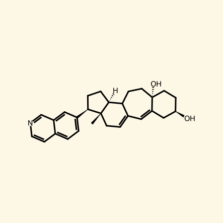 C[C@]12CC=C3C=C4C[C@H](O)CC[C@]4(O)CCC3[C@@H]1CC[C@@H]2c1ccc2ccncc2c1